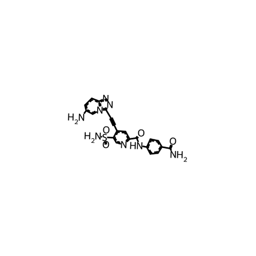 NC(=O)c1ccc(NC(=O)c2cc(C#Cc3nnc4ccc(N)cn34)c(S(N)(=O)=O)cn2)cc1